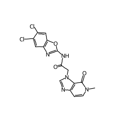 Cn1ccc2ncn(CC(=O)Nc3nc4cc(Cl)c(Cl)cc4o3)c2c1=O